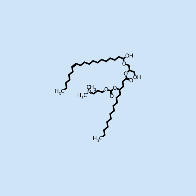 CCCCCC/C=C\CCCCCCCCCCC(O)OCC(CO)OC(=O)CCC(CCCCCCCCCCCC)OC(=O)OCCCN(C)C